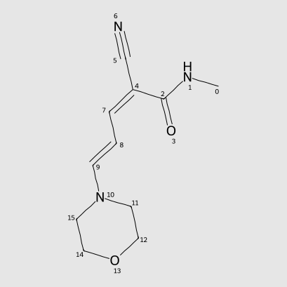 CNC(=O)C(C#N)=CC=CN1CCOCC1